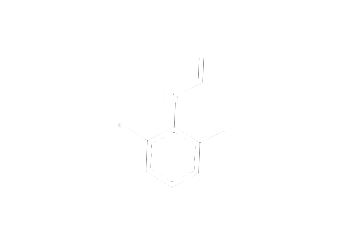 O=CNc1c(F)cccc1Br